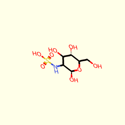 O=S(=O)(O)NC1C(O)[C@H](O)C(CO)O[C@H]1O